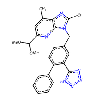 CCc1nc2c(C)cc(C(OC)OC)nc2n1Cc1ccc(-c2ccccc2)c(-c2nnn[nH]2)c1